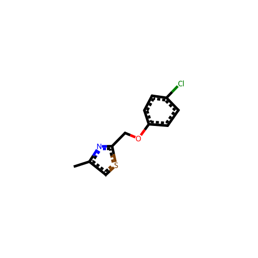 Cc1[c]sc(COc2ccc(Cl)cc2)n1